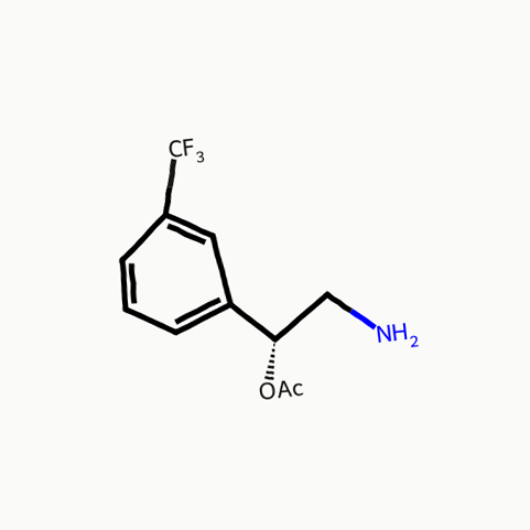 CC(=O)O[C@@H](CN)c1cccc(C(F)(F)F)c1